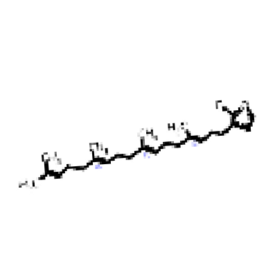 CC(C)=CCC/C(C)=C/CC/C(C)=C/CC/C(C)=C/CCc1ccoc1F